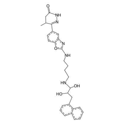 CC1CC(=O)NN=C1c1ccc2oc(NCCCCNC(O)C(O)Cc3cccc4ccccc34)nc2c1